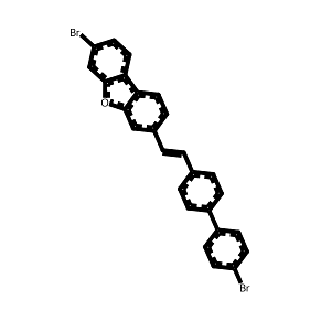 Brc1ccc(-c2ccc(/C=C/c3ccc4c(c3)oc3cc(Br)ccc34)cc2)cc1